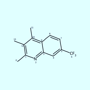 Cc1nc2cc(C(F)(F)F)ccc2c(C)c1C